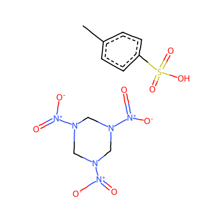 Cc1ccc(S(=O)(=O)O)cc1.O=[N+]([O-])N1CN([N+](=O)[O-])CN([N+](=O)[O-])C1